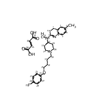 Cc1ccc2c(c1)CSC(N(C)C1CCN(CCCCOc3ccc(F)cc3)CC1)=N2.O=C(O)C=CC(=O)O